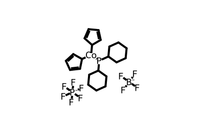 C1=C[CH]([Co]([CH]2C=CC=C2)[P](C2CCCCC2)C2CCCCC2)C=C1.F[B-](F)(F)F.F[P-](F)(F)(F)(F)F